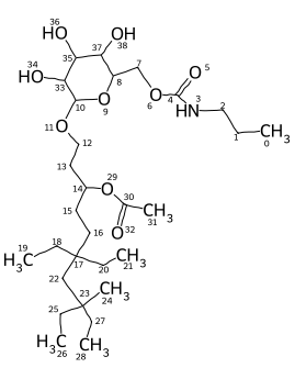 CCCNC(=O)OCC1OC(OCCC(CCC(CC)(CC)CC(C)(CC)CC)OC(C)=O)C(O)C(O)C1O